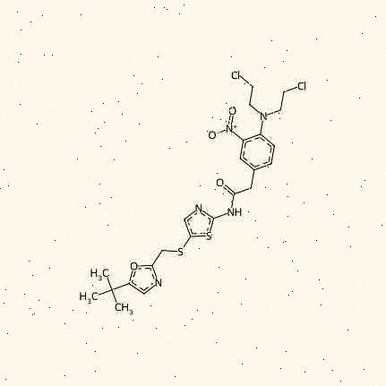 CC(C)(C)c1cnc(CSc2cnc(NC(=O)Cc3ccc(N(CCCl)CCCl)c([N+](=O)[O-])c3)s2)o1